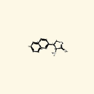 O=C1OCC(c2ccc3ccccc3c2)C1O